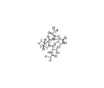 CCC(CC)C(NC(=O)C(F)F)C(=O)N1C[C@@H]2CCC[C@@H]2[C@H]1C(=O)NN(C[C@@H]1CCNC1=O)C(=O)C(F)Cl